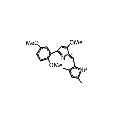 COC1=CC(c2cc(OC)ccc2OC)=N/C1=C\c1[nH]c(C)cc1C